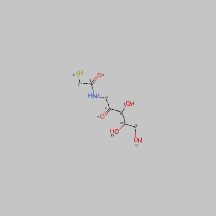 O=C(CS)NCC(=O)C(O)C(O)CO